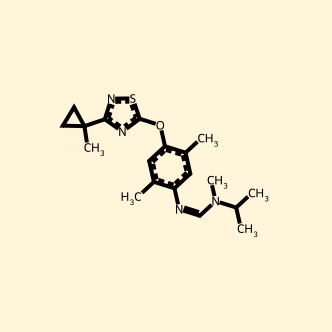 Cc1cc(Oc2nc(C3(C)CC3)ns2)c(C)cc1/N=C\N(C)C(C)C